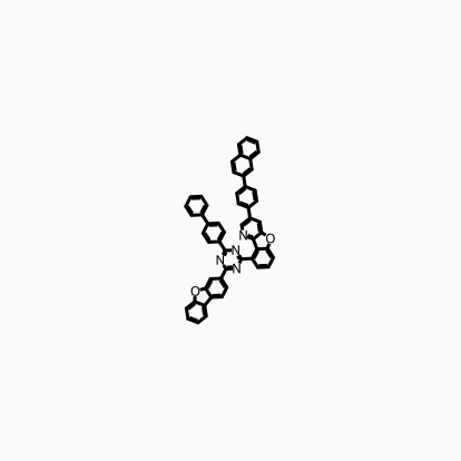 c1ccc(-c2ccc(-c3nc(-c4ccc5c(c4)oc4ccccc45)nc(-c4cccc5oc6cc(-c7ccc(-c8ccc9ccccc9c8)cc7)cnc6c45)n3)cc2)cc1